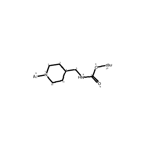 CC(=O)N1CCC(CNC(=O)OC(C)(C)C)CC1